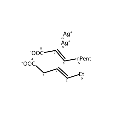 CCC=CCC(=O)[O-].CCCCCC=CC(=O)[O-].[Ag+].[Ag+]